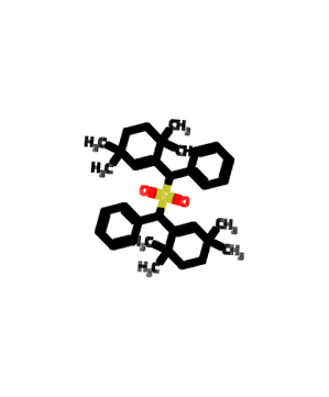 CC1(C)C=C(C(c2ccccc2)S(=O)(=O)C(C2=CC(C)(C)CCC2(C)C)c2ccccc2)C(C)(C)CC1